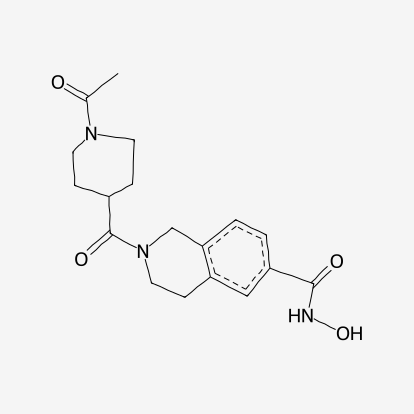 CC(=O)N1CCC(C(=O)N2CCc3cc(C(=O)NO)ccc3C2)CC1